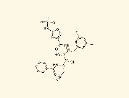 CS(=O)(=O)Nc1nc(C(=O)N[C@H](Cc2cc(F)cc(F)c2)[C@@H](O)[C@H](O)[C@H](CC#N)NC(=O)c2ccccc2)co1